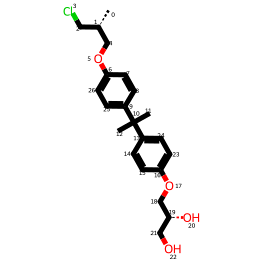 C[C@@H](CCl)COc1ccc(C(C)(C)c2ccc(OC[C@H](O)CO)cc2)cc1